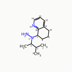 CC(C)C(C)N(N)C1CCCc2cccnc21